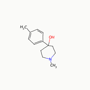 Cc1ccc(C2(O)CCN(C)CC2)cc1